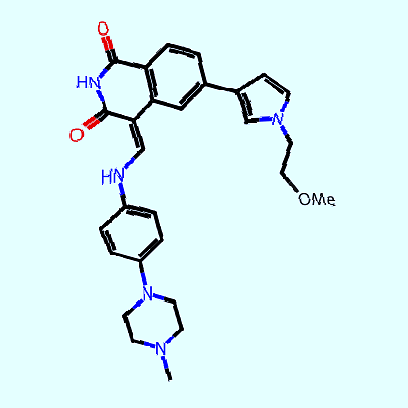 COCCn1ccc(-c2ccc3c(c2)C(=CNc2ccc(N4CCN(C)CC4)cc2)C(=O)NC3=O)c1